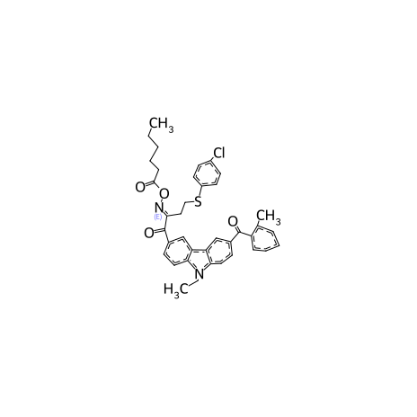 CCCCCC(=O)O/N=C(\CCSc1ccc(Cl)cc1)C(=O)c1ccc2c(c1)c1cc(C(=O)c3ccccc3C)ccc1n2CC